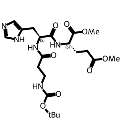 COC(=O)CC[C@H](NC(=O)[C@H](Cc1cnc[nH]1)NC(=O)CCNC(=O)OC(C)(C)C)C(=O)OC